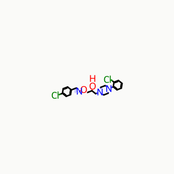 OC(CO/N=C/c1ccc(Cl)cc1)CN1CCN(c2ccccc2Cl)CC1